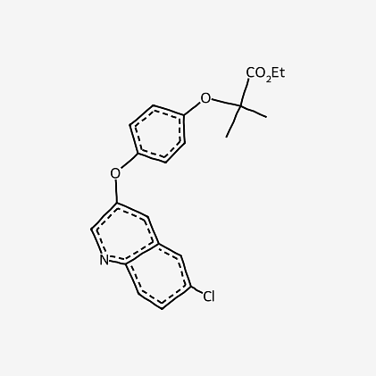 CCOC(=O)C(C)(C)Oc1ccc(Oc2cnc3ccc(Cl)cc3c2)cc1